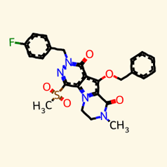 CN1CCn2c(c(OCc3ccccc3)c3c(=O)n(Cc4ccc(F)cc4)nc(S(C)(=O)=O)c32)C1=O